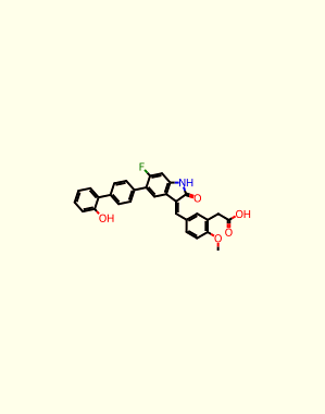 COc1ccc(C=C2C(=O)Nc3cc(F)c(-c4ccc(-c5ccccc5O)cc4)cc32)cc1CC(=O)O